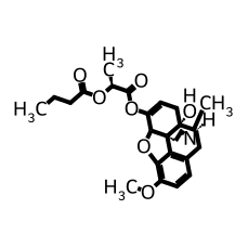 CCCC(=O)O[C@@H](C)C(=O)OC1=CC[C@@]2(O)[C@H]3Cc4ccc(OC)c5c4[C@@]2(CCN3C)C1O5